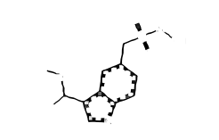 CNC(C)c1c[nH]c2ccc(CS(=O)(=O)NC)cc12